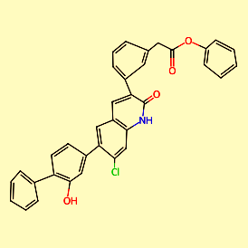 O=C(Cc1cccc(-c2cc3cc(-c4ccc(-c5ccccc5)c(O)c4)c(Cl)cc3[nH]c2=O)c1)Oc1ccccc1